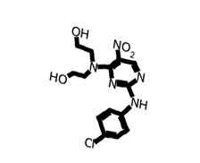 O=[N+]([O-])c1cnc(Nc2ccc(Cl)cc2)nc1N(CCO)CCO